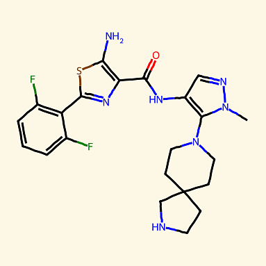 Cn1ncc(NC(=O)c2nc(-c3c(F)cccc3F)sc2N)c1N1CCC2(CCNC2)CC1